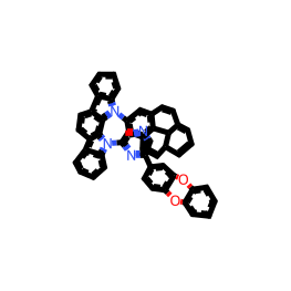 C1=CC2C=Cc3cc(-n4c5ccccc5c5ccc6c7ccccc7n(-c7cncc(-c8ccc9c(c8)Oc8ccccc8O9)n7)c6c54)cc4c3C2C(=C1)C=C4